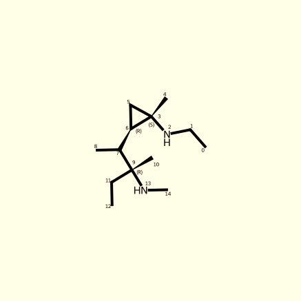 CCN[C@@]1(C)C[C@@H]1C(C)[C@@](C)(CC)NC